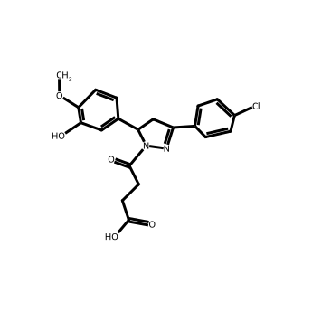 COc1ccc(C2CC(c3ccc(Cl)cc3)=NN2C(=O)CCC(=O)O)cc1O